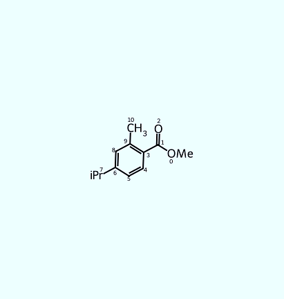 COC(=O)c1ccc(C(C)C)cc1C